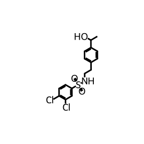 CC(O)c1ccc(CCNS(=O)(=O)c2ccc(Cl)c(Cl)c2)cc1